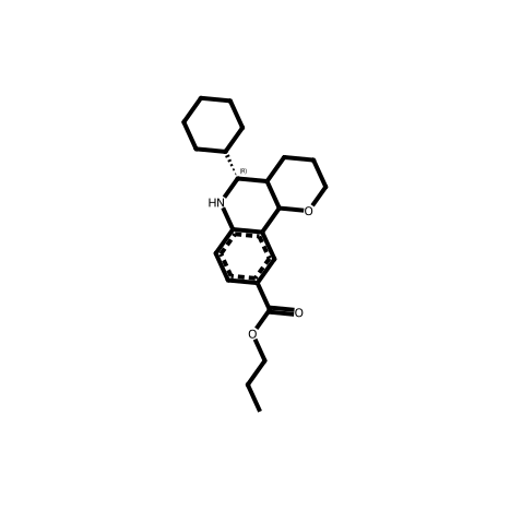 CCCOC(=O)c1ccc2c(c1)C1OCCCC1[C@@H](C1CCCCC1)N2